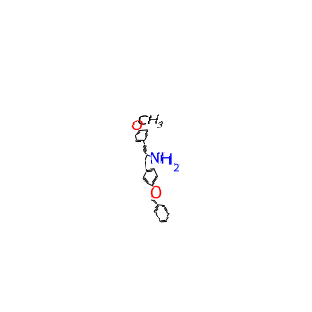 COc1ccc(C#CC(N)Cc2ccc(OCc3ccccc3)cc2)cc1